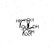 CCCCCCCCNCCCCCCCC.CCCCCCCCOP(=O)(O)O